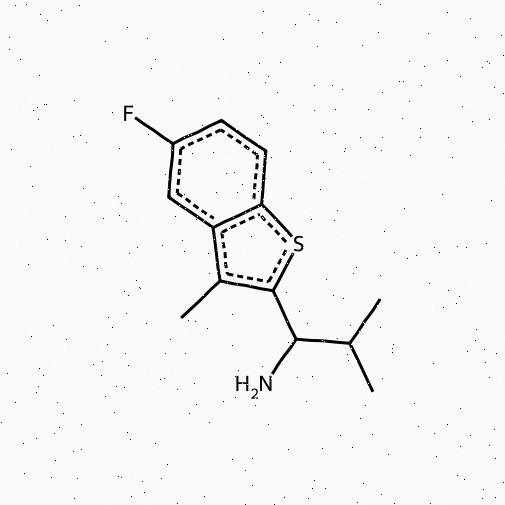 Cc1c(C(N)C(C)C)sc2ccc(F)cc12